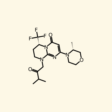 CC(C)C(=O)CN1CC[C@H](C(F)(F)F)n2c1nc(N1CCOC[C@H]1C)cc2=O